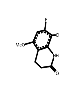 COc1cc(F)c(Cl)c2c1CCC(=O)N2